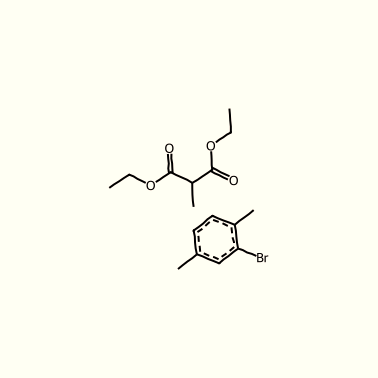 CCOC(=O)C(C)C(=O)OCC.Cc1ccc(C)c(Br)c1